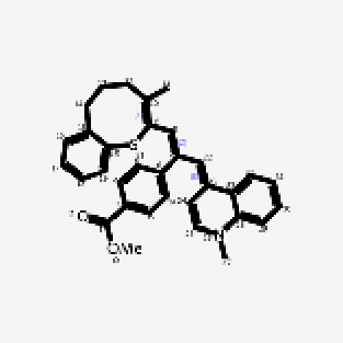 COC(=O)c1ccc(C(=C\C2=C(/C)CCCc3ccccc3S2)/C=C2\C=CN(C)c3ccccc32)cc1